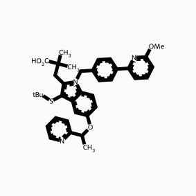 COc1cccc(-c2ccc(Cn3c(CC(C)(C)C(=O)O)c(SC(C)(C)C)c4cc(OC(C)c5ccccn5)ccc43)cc2)n1